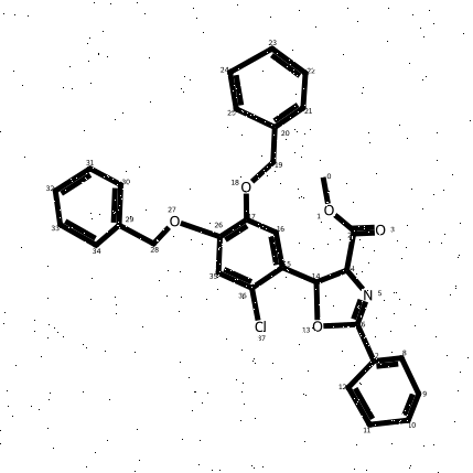 COC(=O)C1N=C(c2ccccc2)OC1c1cc(OCc2ccccc2)c(OCc2ccccc2)cc1Cl